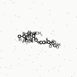 COc1cc(N2CCC(CN3CCC4(CC3)CCN(c3cc5c(cc3F)C(=O)N(C3CCC(=O)NC3=O)C5=O)CC4)CC2)c(-c2cnn(C)c2)cc1Nc1ncc(Br)c(Nc2ccc(-c3ccccc3)cc2P(C)(C)=O)n1